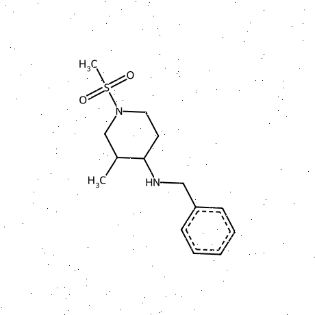 CC1CN(S(C)(=O)=O)CCC1NCc1ccccc1